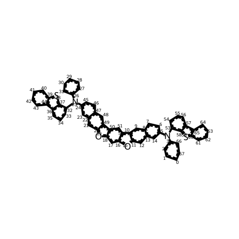 c1ccc(N(c2ccc3cc4c(cc3c2)oc2cc3oc5cc6cc(N(c7ccccc7)c7cccc8c7sc7ccccc78)ccc6cc5c3cc24)c2cccc3c2sc2ccccc23)cc1